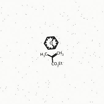 C=C(C)C(=O)OCC.c1cc2cc(c1)O2